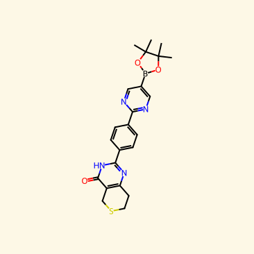 CC1(C)OB(c2cnc(-c3ccc(-c4nc5c(c(=O)[nH]4)CSCC5)cc3)nc2)OC1(C)C